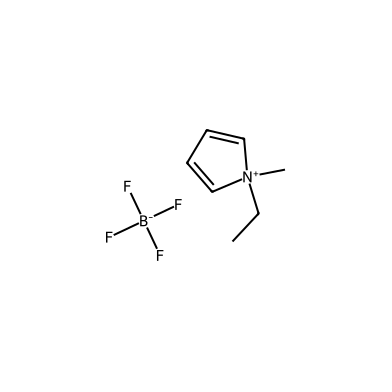 CC[N+]1(C)C=CC=C1.F[B-](F)(F)F